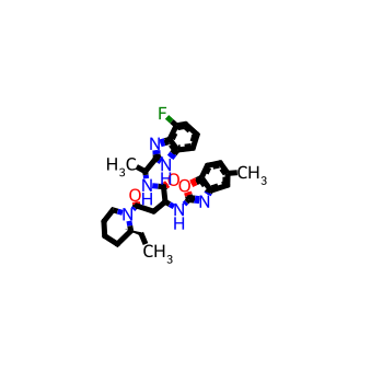 CC[C@H]1CCCCN1C(=O)CC(Nc1nc2cc(C)ccc2o1)C(=O)NC(C)c1nc2c(F)cccc2[nH]1